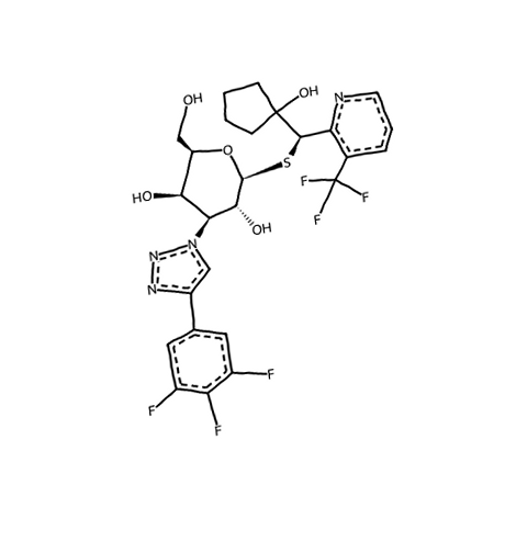 OC[C@H]1O[C@@H](S[C@H](c2ncccc2C(F)(F)F)C2(O)CCCC2)[C@H](O)[C@@H](n2cc(-c3cc(F)c(F)c(F)c3)nn2)[C@H]1O